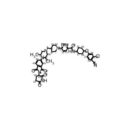 CC1CN(CC2CCN(c3ccc(C(=O)NC4CCC(Oc5ccc(C#N)c(Cl)c5)CC4)nn3)CC2)CC(C)N1c1ccc2c(c1)C(=O)N(C1CCC(=O)NC1=O)C2=O